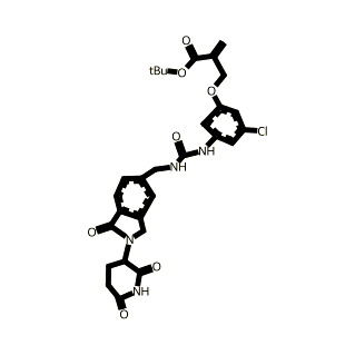 C=C(COc1cc(Cl)cc(NC(=O)NCc2ccc3c(c2)CN(C2CCC(=O)NC2=O)C3=O)c1)C(=O)OC(C)(C)C